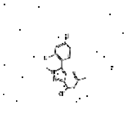 Cc1cc(Cl)c2nn(C)c(-c3ccc(Cl)cc3Cl)c2n1